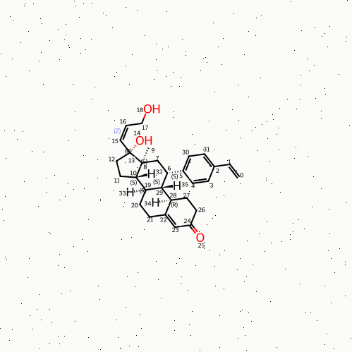 C=Cc1ccc([C@H]2C[C@@]3(C)[C@@H](CC[C@@]3(O)/C=C\CO)[C@@H]3CCC4=CC(=O)CC[C@@H]4[C@H]32)cc1